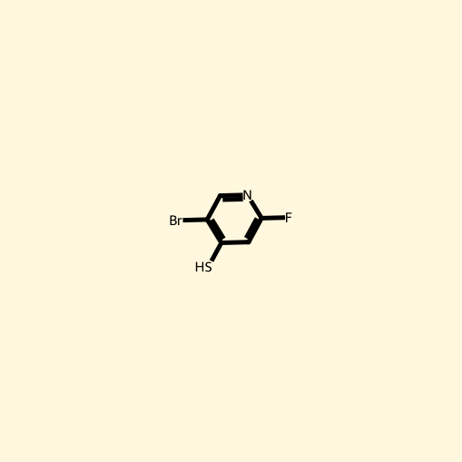 Fc1cc(S)c(Br)cn1